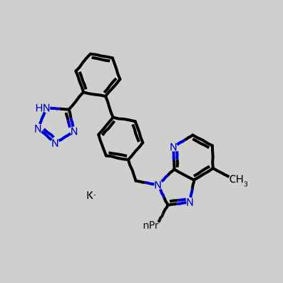 CCCc1nc2c(C)ccnc2n1Cc1ccc(-c2ccccc2-c2nnn[nH]2)cc1.[K]